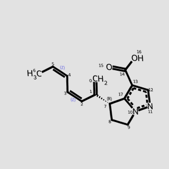 C=C(/C=C\C=C/C)[C@H]1CCn2ncc(C(=O)O)c21